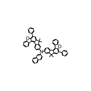 CC1(C)c2cc(N(c3ccc4c(c3)C(C)(C)c3cc(-c5ccccc5)c5oc6ccccc6c5c3-4)c3ccc4ccccc4c3)ccc2-c2c1cc(-c1ccccc1)c1oc3ccccc3c21